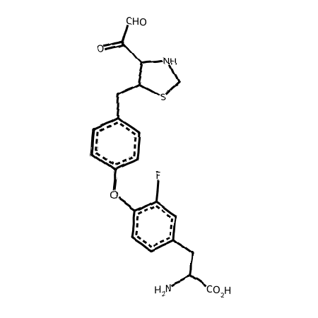 NC(Cc1ccc(Oc2ccc(CC3SCNC3C(=O)C=O)cc2)c(F)c1)C(=O)O